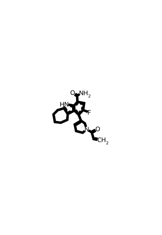 C=CC(=O)N1CCC=C(c2c(F)cc(C(N)=O)c3[nH]c4c(c23)CCCCC4)C1